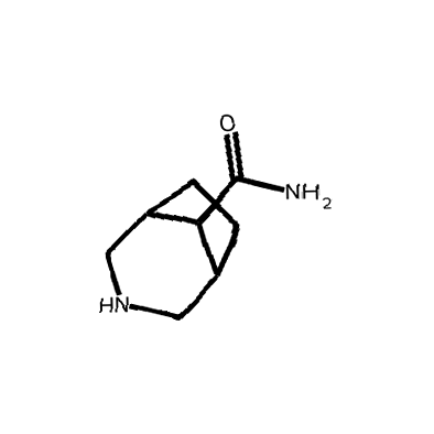 NC(=O)C1C2CCC1CNC2